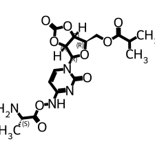 CC(C)C(=O)OC[C@H]1O[C@@H](n2ccc(NOC(=O)[C@H](C)N)nc2=O)[C@@H]2OC(=O)O[C@@H]21